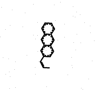 C/C=C\c1ccc2cc3ccccc3cc2c1